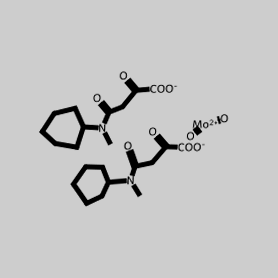 CN(C(=O)CC(=O)C(=O)[O-])C1CCCCC1.CN(C(=O)CC(=O)C(=O)[O-])C1CCCCC1.[O]=[Mo+2]=[O]